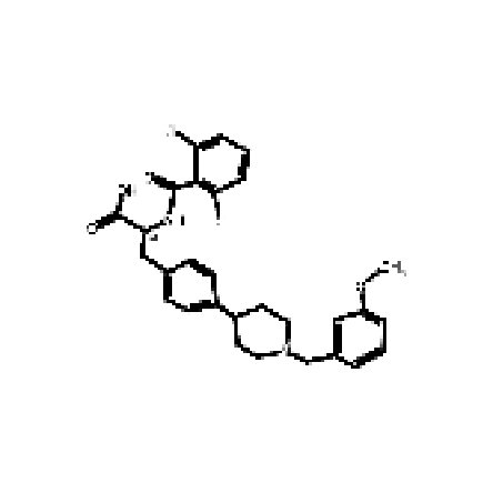 COc1cccc(CN2CCC(c3ccc(C[C@H](NC(=O)c4c(Cl)cccc4Cl)C(=O)O)cc3)CC2)c1